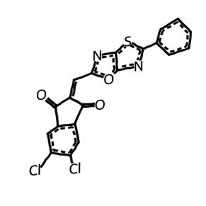 O=C1C(=Cc2nc3sc(-c4ccccc4)nc3o2)C(=O)c2cc(Cl)c(Cl)cc21